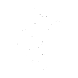 N#CC(C(O)c1cnc(C(F)(F)F)nc1)C(O)c1cc(C(F)(F)F)nc(C(F)(F)F)c1